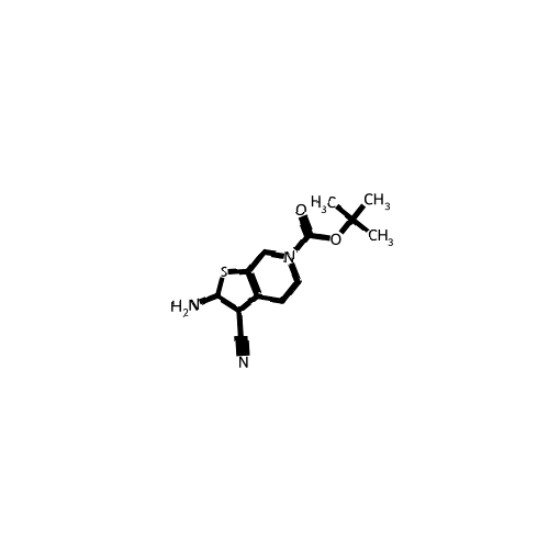 CC(C)(C)OC(=O)N1CCC2=C(C1)SC(N)C2C#N